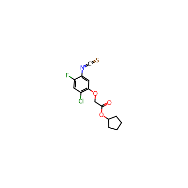 O=C(COc1cc(N=C=S)c(F)cc1Cl)OC1CCCC1